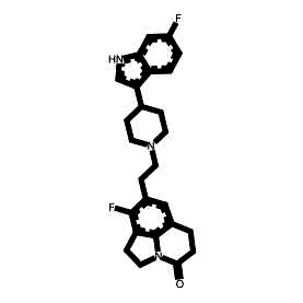 O=C1CCc2cc(CCN3CCC(c4c[nH]c5cc(F)ccc45)CC3)c(F)c3c2N1CC3